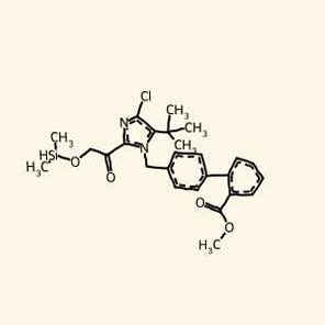 COC(=O)c1ccccc1-c1ccc(Cn2c(C(=O)CO[SiH](C)C)nc(Cl)c2C(C)(C)C)cc1